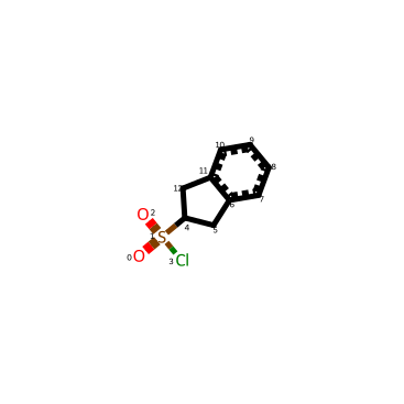 O=S(=O)(Cl)C1Cc2ccccc2C1